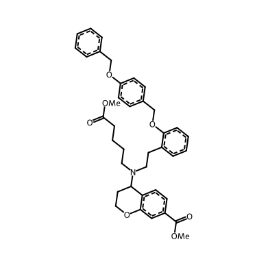 COC(=O)CCCCN(CCc1ccccc1OCc1ccc(OCc2ccccc2)cc1)C1CCOc2cc(C(=O)OC)ccc21